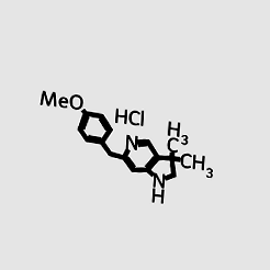 COc1ccc(Cc2cc3c(cn2)C(C)(C)CN3)cc1.Cl